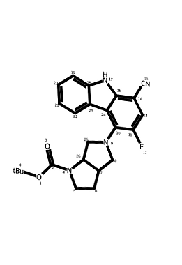 CC(C)(C)OC(=O)N1CCC2CN(c3c(F)cc(C#N)c4[nH]c5ccccc5c34)CC21